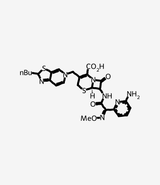 CCCCC1N=C2C=CN(CC3=C(C(=O)O)N4C(=O)C(NC(=O)/C(=N\OC)c5cccc(N)n5)[C@H]4SC3)C=C2S1